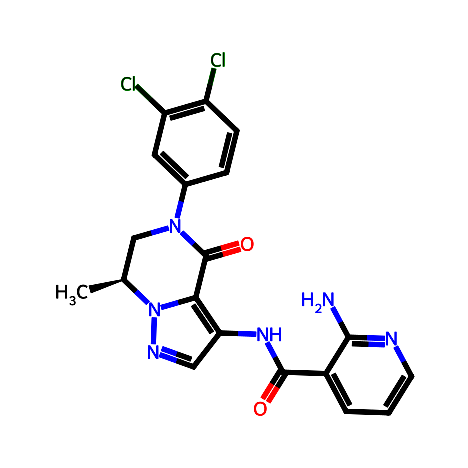 C[C@H]1CN(c2ccc(Cl)c(Cl)c2)C(=O)c2c(NC(=O)c3cccnc3N)cnn21